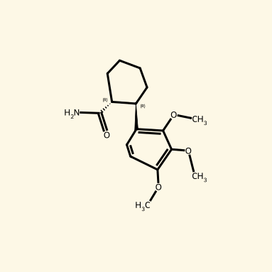 COc1ccc([C@@H]2CCCC[C@H]2C(N)=O)c(OC)c1OC